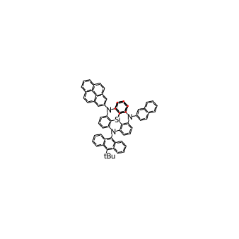 CC(C)(C)c1c2ccccc2c(N2c3cccc4c3[Si]3(c5ccccc5)c5c(cccc5N(c5cc6ccc7cccc8ccc(c5)c6c78)c5cccc2c53)N4c2ccc3ccccc3c2)c2ccccc12